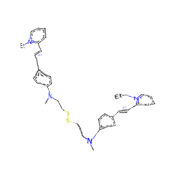 CC[n+]1ccccc1/C=C/c1ccc(N(C)CCSSCCN(C)c2ccc(/C=C/c3cccc[n+]3CC)cc2)cc1